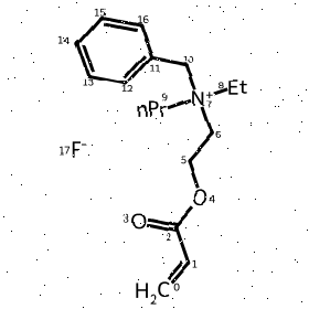 C=CC(=O)OCC[N+](CC)(CCC)Cc1ccccc1.[F-]